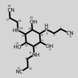 N#CCCNC1C(O)C(NCCC#N)C(O)C(NCCC#N)C1O